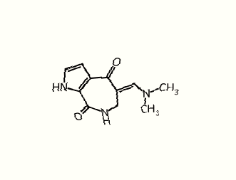 CN(C)/C=C1\CNC(=O)c2[nH]ccc2C1=O